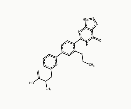 CCOc1cc(-c2cccc(C[C@@H](C)C(=O)O)c2)ccc1-c1nc2[nH]cnc2c(=O)[nH]1